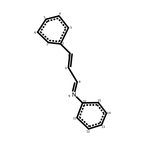 C(=C\c1ccccc1)/C=N/c1ccccc1